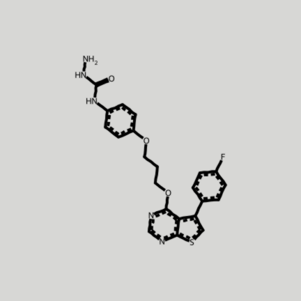 NNC(=O)Nc1ccc(OCCCOc2ncnc3scc(-c4ccc(F)cc4)c23)cc1